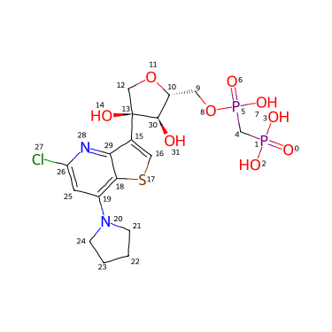 O=P(O)(O)CP(=O)(O)OC[C@H]1OC[C@@](O)(c2csc3c(N4CCCC4)cc(Cl)nc23)[C@@H]1O